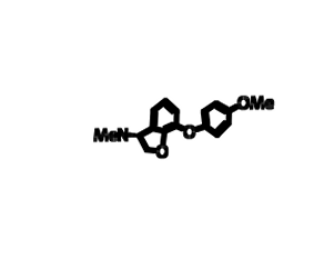 CN[C@@H]1COc2c(Oc3ccc(OC)cc3)cccc21